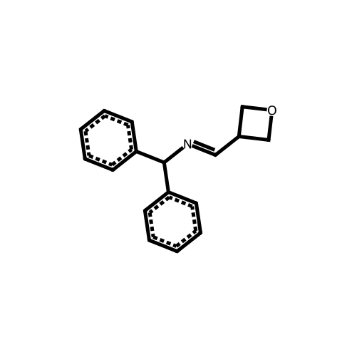 C(=NC(c1ccccc1)c1ccccc1)C1COC1